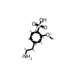 COc1cc(CCN)ccc1S(=O)(=O)O